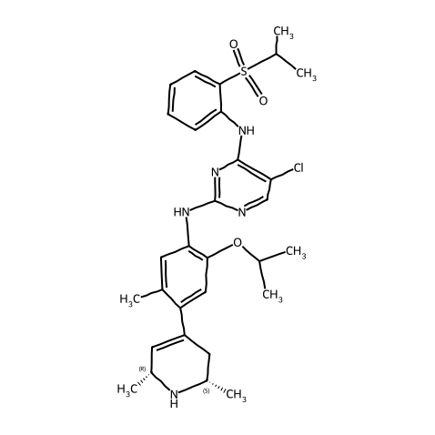 Cc1cc(Nc2ncc(Cl)c(Nc3ccccc3S(=O)(=O)C(C)C)n2)c(OC(C)C)cc1C1=C[C@@H](C)N[C@@H](C)C1